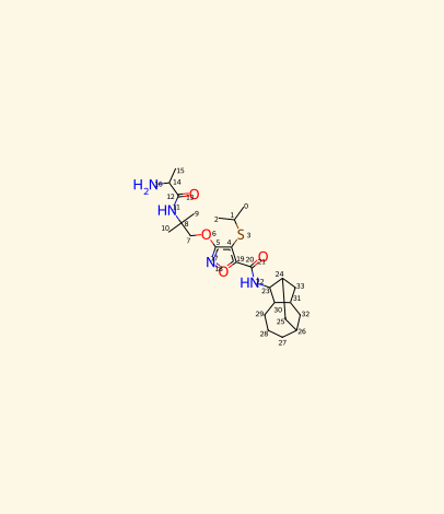 CC(C)Sc1c(OCC(C)(C)NC(=O)C(C)N)noc1C(=O)NC1C2CC3CCCC1C(C3)C2